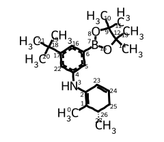 CC1=C(Nc2cc(B3OC(C)(C)C(C)(C)O3)cc(C(C)(C)C)c2)C=CC[C@@H]1C